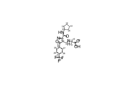 CC(C)(NCc1c(C(=O)NC2CCCC2)noc1-c1ccc(C(F)(F)F)cc1)C(=O)O